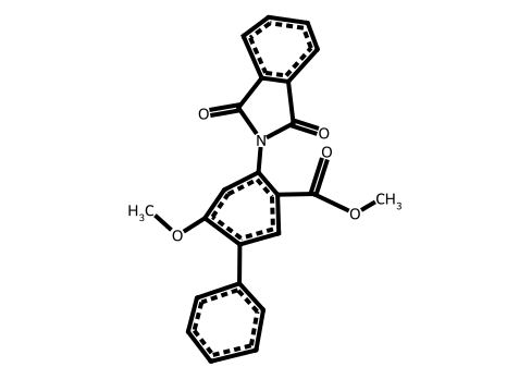 COC(=O)c1cc(-c2ccccc2)c(OC)cc1N1C(=O)c2ccccc2C1=O